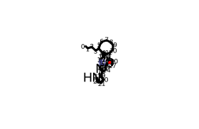 CCCCC1CCCCCCc2cc1c(/C=C1/N=C(c3ccc[nH]3)C=C1OC)n2CC